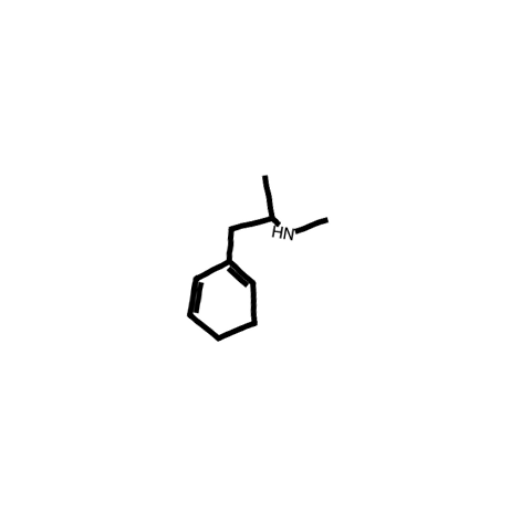 CNC(C)CC1=CCCC=C1